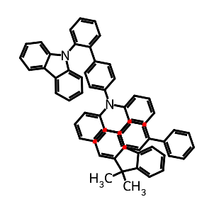 CC1(C)c2ccccc2-c2c(-c3ccccc3N(c3ccc(-c4ccccc4-n4c5ccccc5c5ccccc54)cc3)c3ccccc3-c3ccc(-c4ccccc4)cc3)cccc21